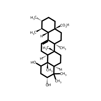 C[C@H]1[C@H](C)CC[C@]2(C(=O)O)CC[C@]3(C)C(=CC[C@@H]4[C@@]5(C)C(O)C[C@@H](O)C(C)(C)[C@@H]5CC[C@]43C)[C@H]12